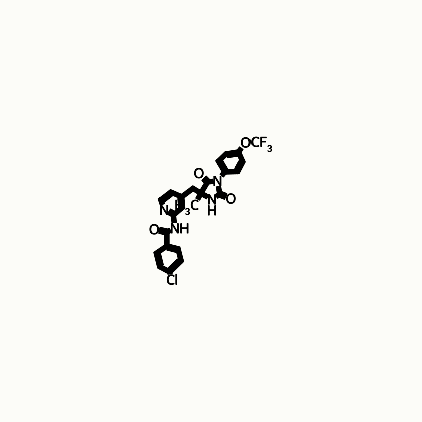 CC1(Cc2ccnc(NC(=O)c3ccc(Cl)cc3)c2)NC(=O)N(c2ccc(OC(F)(F)F)cc2)C1=O